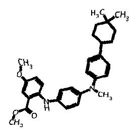 COC(=O)c1cc(OC)ccc1Nc1ccc(N(C)c2ccc(C3CCC(C)(C)CC3)cc2)cc1